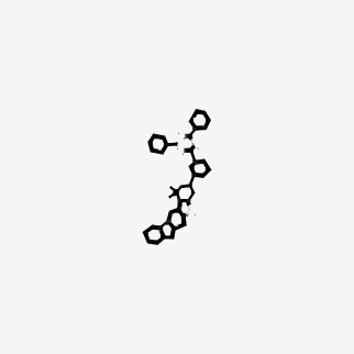 CC1(C)CC(c2cccc(-c3nc(-c4ccccc4)nc(-c4ccccc4)n3)c2)CC2=Nc3cc4c(cc3=C21)-c1ccccc1C=4